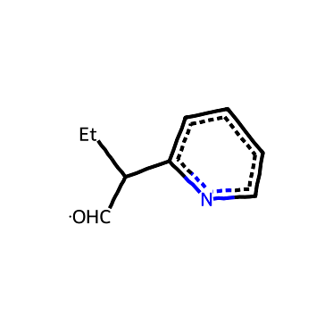 CCC([C]=O)c1ccccn1